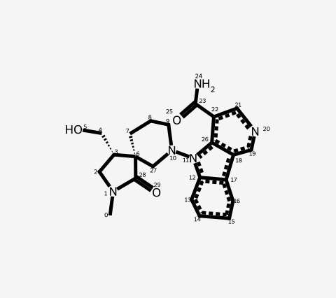 CN1C[C@H](CO)[C@]2(CCCN(n3c4ccccc4c4cncc(C(N)=O)c43)C2)C1=O